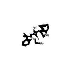 CC(C)CC[N+]1=C(/C=C2\C(=O)C(c3c[nH]c4ccccc34)=C2O)C(C)(C)c2ccccc21